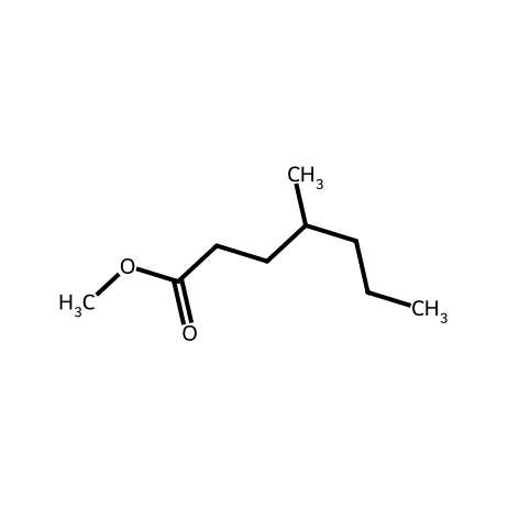 CCCC(C)CCC(=O)OC